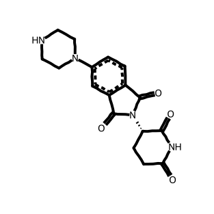 O=C1CC[C@H](N2C(=O)c3ccc(N4CCNCC4)cc3C2=O)C(=O)N1